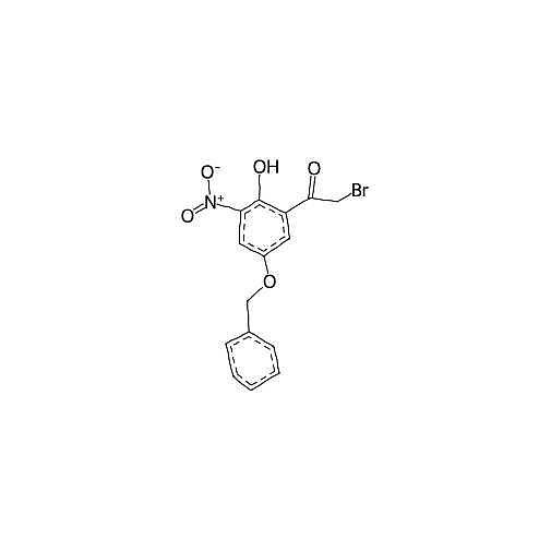 O=C(CBr)c1cc(OCc2ccccc2)cc([N+](=O)[O-])c1O